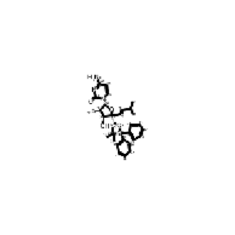 CC(C)/C=C/[C@]1(CO[Si](c2ccccc2)(c2ccccc2)C(C)(C)C)O[C@@H](n2ccc(N)nc2=O)[C@H](F)[C@@H]1O